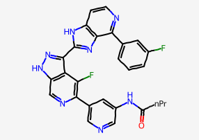 CCCC(=O)Nc1cncc(-c2ncc3[nH]nc(-c4nc5c(-c6cccc(F)c6)nccc5[nH]4)c3c2F)c1